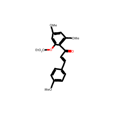 CCOC(=O)Oc1cc(OC)cc(OC)c1C(=O)C=Cc1ccc(OC)cc1